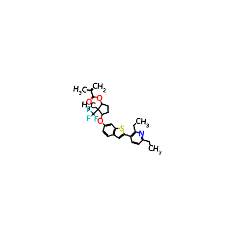 C=C(C)C(=O)OC1CCC(Oc2ccc3cc(-c4ccc(CC)nc4CC)sc3c2)C1(C)C(F)(F)F